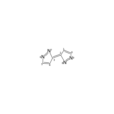 C1=CC(=C2C=CN=N2)N=N1